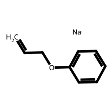 C=CCOc1ccccc1.[Na]